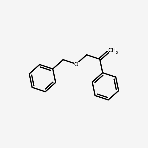 C=C(COCc1ccccc1)c1ccccc1